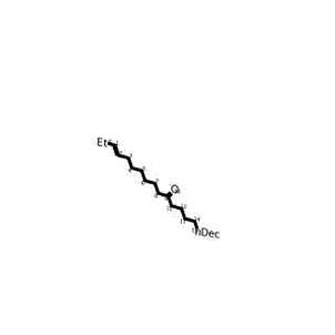 CCC=CCCCCCCC(=O)CCCCCCCCCCCCCC